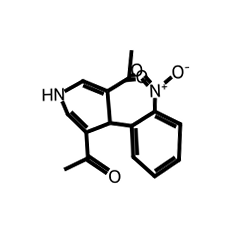 CC(=O)C1=CNC=C(C(C)=O)C1c1ccccc1[N+](=O)[O-]